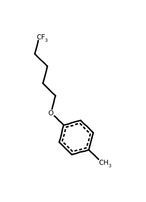 Cc1ccc(OCCCCC(F)(F)F)cc1